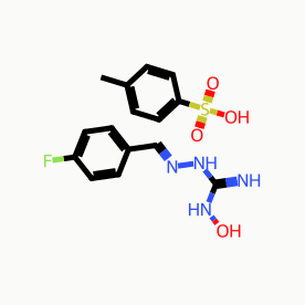 Cc1ccc(S(=O)(=O)O)cc1.N=C(NO)N/N=C/c1ccc(F)cc1